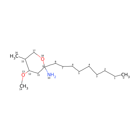 CCCCCCCCCC1(N)CC(OC)C(C)CO1